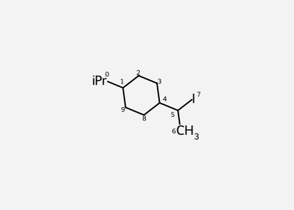 CC(C)C1CCC(C(C)I)CC1